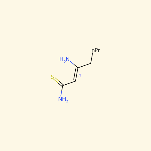 CCCC/C(N)=C/C(N)=S